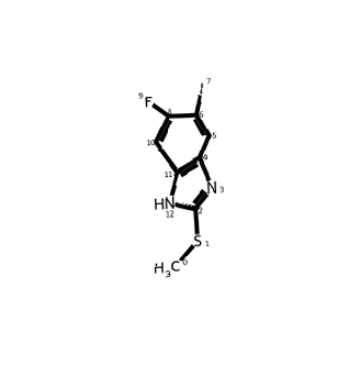 CSc1nc2cc(I)c(F)cc2[nH]1